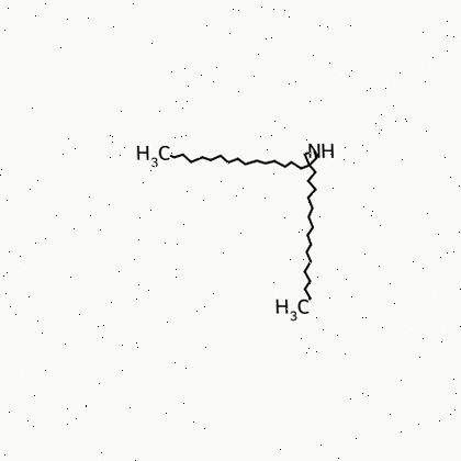 CCCCCCCCCCCCCCCCC1(CCCCCCCCCCCCCCCC)CNC1